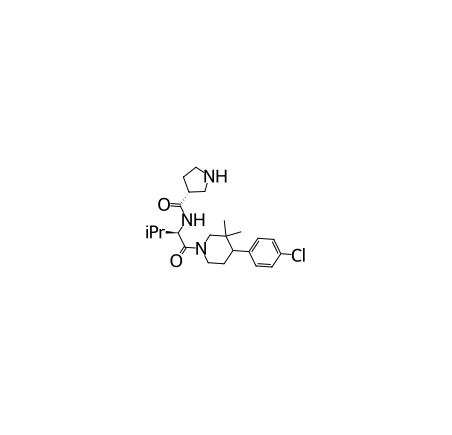 CC(C)[C@@H](NC(=O)[C@@H]1CCNC1)C(=O)N1CCC(c2ccc(Cl)cc2)C(C)(C)C1